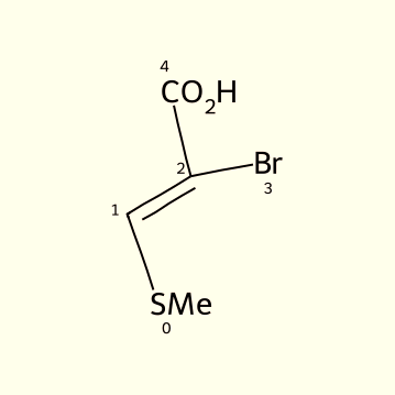 CS/C=C(\Br)C(=O)O